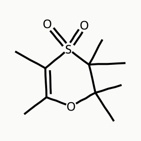 CC1=C(C)S(=O)(=O)C(C)(C)C(C)(C)O1